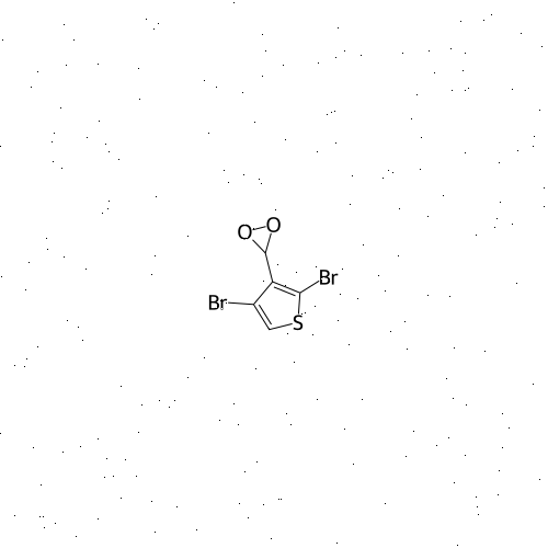 Brc1csc(Br)c1C1OO1